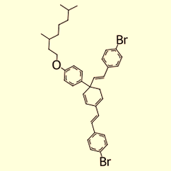 CC(C)CCCC(C)CCOc1ccc(C2(C=Cc3ccc(Br)cc3)C=CC(C=Cc3ccc(Br)cc3)=CC2)cc1